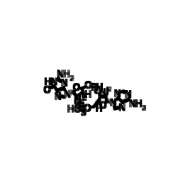 Nc1nc2c(ncn2[C@@H]2OC3OPC[C@H]4[C@@H](F)[C@H](n5cnc6c(N)ncnc65)O[C@@H]4COP(O)(=S)O[C@@H]2[C@@H]3F)c(=O)[nH]1